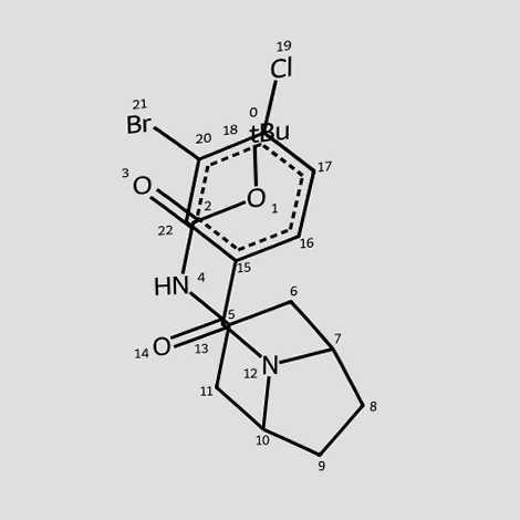 CC(C)(C)OC(=O)NC1CC2CCC(C1)N2C(=O)c1ccc(Cl)c(Br)c1